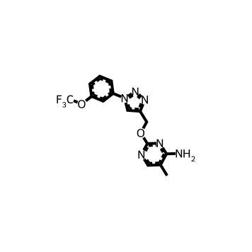 Cc1cnc(OCc2cn(-c3cccc(OC(F)(F)F)c3)nn2)nc1N